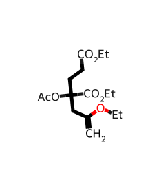 C=C(CC(CCC(=O)OCC)(OC(C)=O)C(=O)OCC)OCC